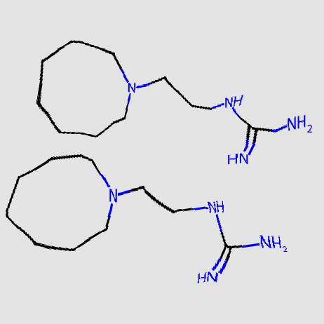 N=C(N)NCCN1CCCCCCC1.N=C(N)NCCN1CCCCCCC1